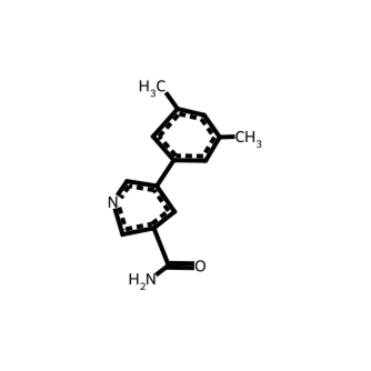 Cc1cc(C)cc(-c2cncc(C(N)=O)c2)c1